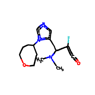 CN(C)C(C(F)=C=O)c1cncn1C1CCOCC1